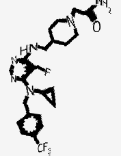 NC(=O)CN1CCC(CNc2ncnc(N(Cc3ccc(C(F)(F)F)cc3)C3CC3)c2F)CC1